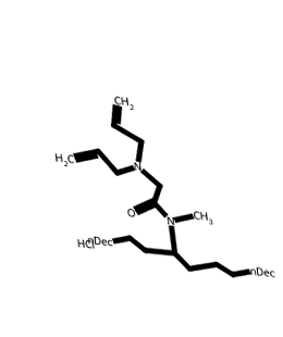 C=CCN(CC=C)CC(=O)N(C)C(CCCCCCCCCCCC)CCCCCCCCCCCCC.Cl